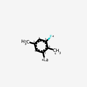 Cc1cc(F)c(C)[c]([La])c1